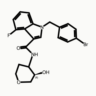 O=C(NC1CCOC[C@@H]1O)c1cn(Cc2ccc(Br)cc2)c2cccc(F)c12